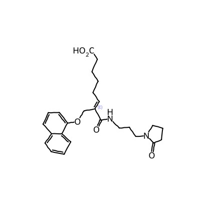 O=C(O)CCCC/C=C(\COc1cccc2ccccc12)C(=O)NCCCN1CCCC1=O